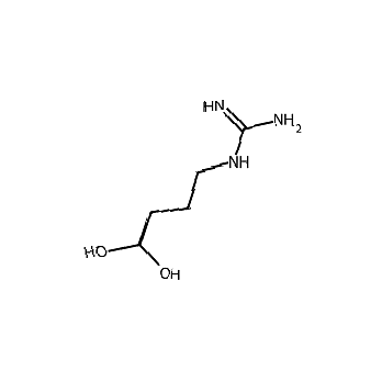 N=C(N)NCCCC(O)O